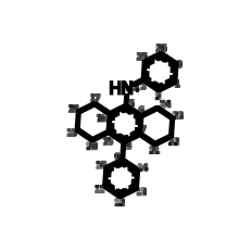 c1ccc(Nc2c3c(c(-c4ccccc4)c4c2CCCC4)CCCC3)cc1